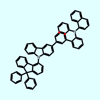 c1ccc(N(c2ccccc2-c2cccc(-c3ccc4c(c3)c3ccccc3n4-c3cccc4c3-c3ccccc3C4(c3ccccc3)c3ccccc3)c2)c2cccc3ccccc23)cc1